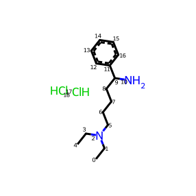 CCN(CC)CCCCC(N)c1ccccc1.Cl.Cl